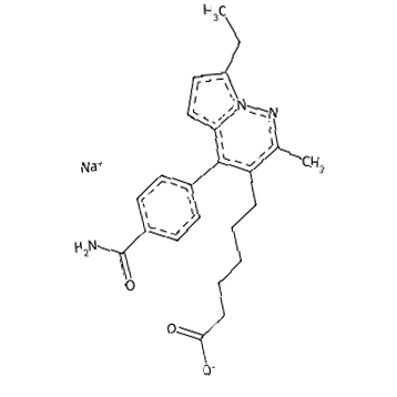 CCc1ccc2c(-c3ccc(C(N)=O)cc3)c(CCCCCC(=O)[O-])c(C)nn12.[Na+]